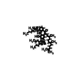 CCCCOP(=O)([SiH3])Oc1cccc2c1Nc1c(O)cc(OP(=O)(OCCCC)OCCCC)cc1N(C/C=C(\C)CC/C=C(\C)CCC=C(C)C)C2=O